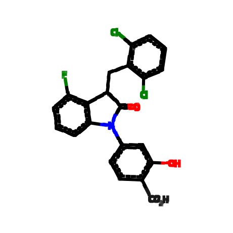 O=C(O)c1ccc(N2C(=O)C(Cc3c(Cl)cccc3Cl)c3c(F)cccc32)cc1O